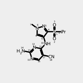 CC(C)S(=O)(=O)c1nn(C)cc1Nc1nc(N)ncc1C#N